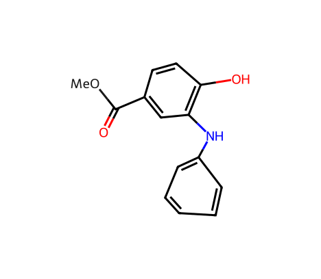 COC(=O)c1ccc(O)c(Nc2ccccc2)c1